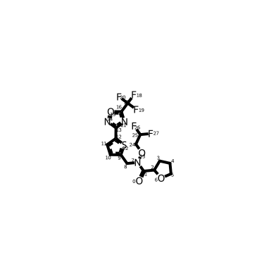 O=C(C1CCCO1)N(Cc1ccc(-c2noc(C(F)(F)F)n2)s1)OCC(F)F